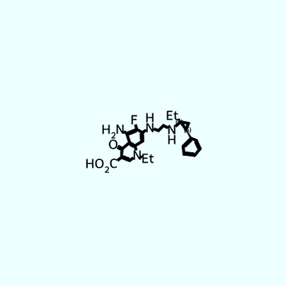 CCn1cc(C(=O)O)c(=O)c2c(N)c(F)c(NCCN[C@]3(CC)C[C@H]3c3ccccc3)cc21